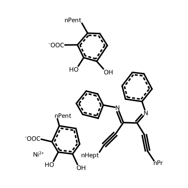 CCCC#CC(=Nc1ccccc1)C(C#CCCCCCCC)=Nc1ccccc1.CCCCCc1ccc(O)c(O)c1C(=O)[O-].CCCCCc1ccc(O)c(O)c1C(=O)[O-].[Ni+2]